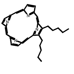 CCCCCC1=C(CCCCC)C2=NC1=CC1=NC(=CC3=NC(=CC4=NC(=C2)C=C4)C=C3)C=C1